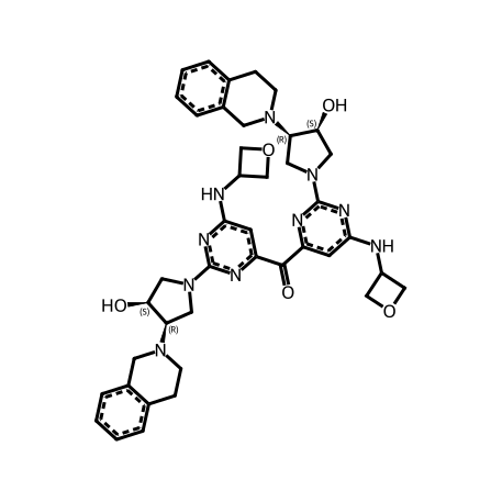 O=C(c1cc(NC2COC2)nc(N2C[C@@H](N3CCc4ccccc4C3)[C@@H](O)C2)n1)c1cc(NC2COC2)nc(N2C[C@@H](N3CCc4ccccc4C3)[C@@H](O)C2)n1